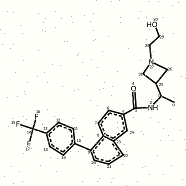 CC(NC(=O)c1ccc2c(-c3ccc(C(F)(F)F)cc3)cccc2c1)C1CN(CCO)C1